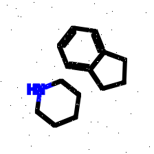 C1CCNCC1.c1ccc2c(c1)CCC2